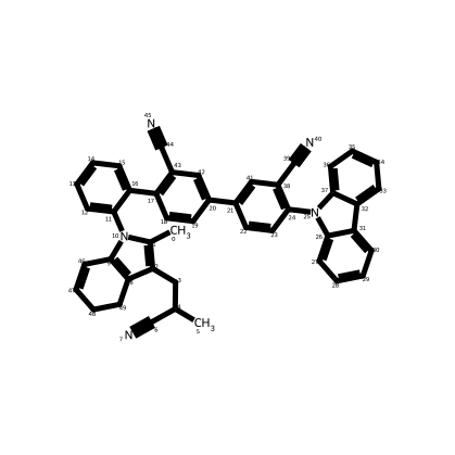 Cc1c(CC(C)C#N)c2c(n1-c1ccccc1-c1ccc(-c3ccc(-n4c5ccccc5c5ccccc54)c(C#N)c3)cc1C#N)C=CCC2